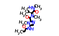 C=CC(=O)Nc1cnc(C(=O)N(C)[C@H](C(=O)NC)C(C)C)n1C